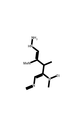 C=N/C=C(/C(C)/C(=C/NN)NC)N(C)CC